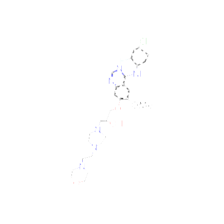 COc1cc2c(Nc3ccc(Cl)cc3F)ncnc2cc1OCC(O)CN1CCN(CCN2CCOCC2)CC1